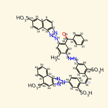 Cc1cc(-n2n3c4ccc5cc(S(=O)(=O)O)ccc5c4n23)c(C(=O)c2ccccc2)cc1N=Nc1ccc(/C=C\c2ccc(-n3n4c5cc(S(=O)(=O)O)c6ccccc6c5n34)cc2S(=O)(=O)O)c(S(=O)(=O)O)c1